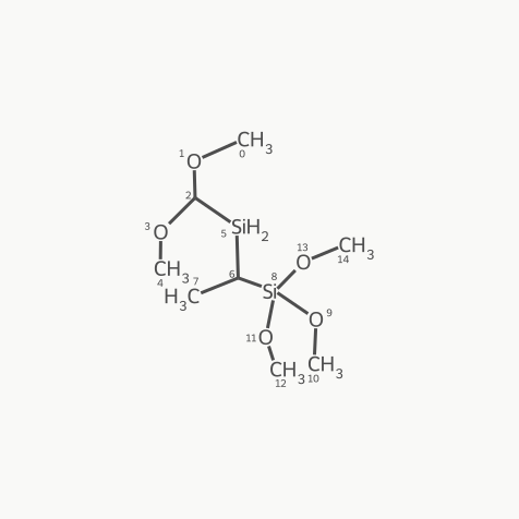 COC(OC)[SiH2]C(C)[Si](OC)(OC)OC